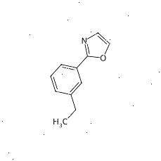 CCc1cccc(-c2ncco2)c1